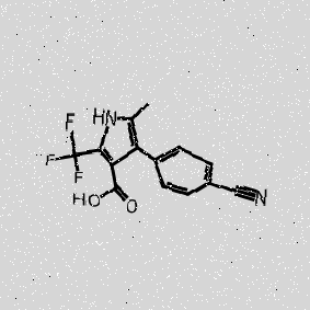 Cc1[nH]c(C(F)(F)F)c(C(=O)O)c1-c1ccc(C#N)cc1